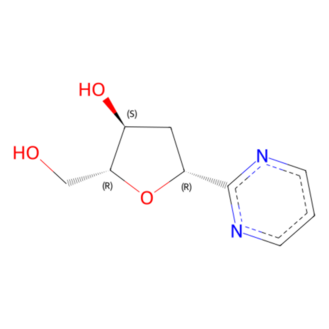 OC[C@H]1O[C@@H](c2ncccn2)C[C@@H]1O